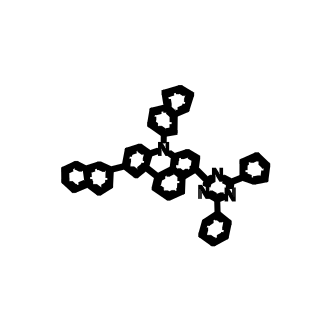 c1ccc(-c2nc(-c3ccccc3)nc(-c3ccc4c5c(cccc35)-c3cc(-c5ccc6ccccc6c5)ccc3N4c3ccc4ccccc4c3)n2)cc1